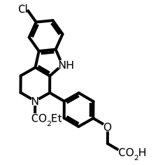 CCOC(=O)N1CCc2c([nH]c3ccc(Cl)cc23)C1c1ccc(OCC(=O)O)cc1